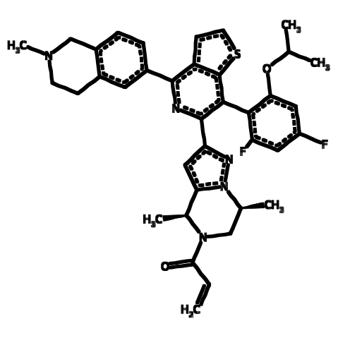 C=CC(=O)N1C[C@H](C)n2nc(-c3nc(-c4ccc5c(c4)CCN(C)C5)c4ccsc4c3-c3c(F)cc(F)cc3OC(C)C)cc2[C@@H]1C